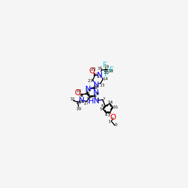 CCOc1ccc(CNc2nc(N3CCN(CC(F)(F)F)C(=O)C3)nc3c2CN(C(C)C)C3=O)cc1